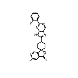 O=C1OC2(CCC(c3nc4cnc(-c5ccccc5F)nc4[nH]3)CC2)c2cnc(F)cc21